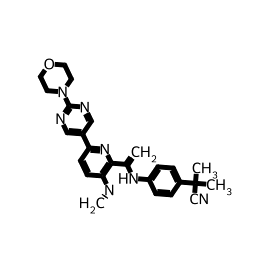 C=Nc1ccc(-c2cnc(N3CCOCC3)nc2)nc1C(=C)Nc1ccc(C(C)(C)C#N)cc1